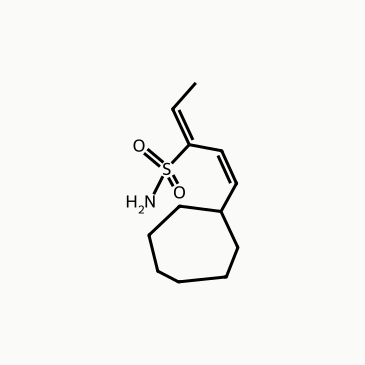 C/C=C(\C=C/C1CCCCCC1)S(N)(=O)=O